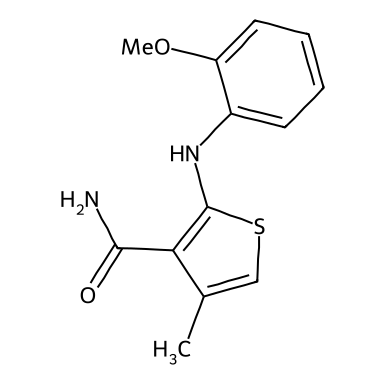 COc1ccccc1Nc1scc(C)c1C(N)=O